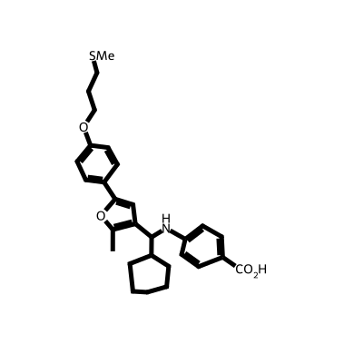 CSCCCOc1ccc(-c2cc(C(Nc3ccc(C(=O)O)cc3)C3CCCCC3)c(C)o2)cc1